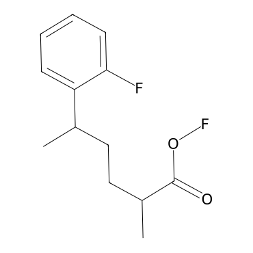 CC(CCC(C)c1ccccc1F)C(=O)OF